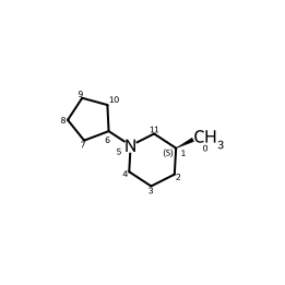 C[C@H]1CCCN(C2CCCC2)C1